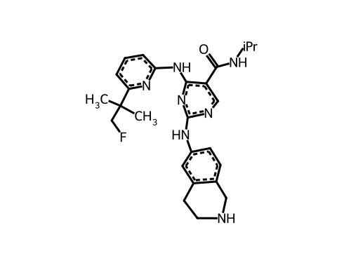 CC(C)NC(=O)c1cnc(Nc2ccc3c(c2)CCNC3)nc1Nc1cccc(C(C)(C)CF)n1